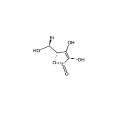 CC[C@H](O)[C@H]1O[13C](=O)C(O)=C1O